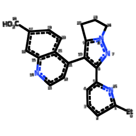 CCc1cccc(-c2nn3c(c2-c2ccnc4cc(C(=O)O)ccc24)CCC3)n1